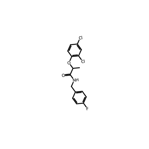 CC(Oc1ccc(Cl)cc1Cl)C(=O)NCc1ccc(F)cc1